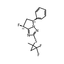 CC1(Sc2nc3n(n2)[C@H](c2ccccc2)C[C@@H]3F)CC1(F)F